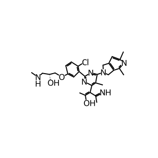 CNC[C@@H](O)COc1ccc(Cl)c(-c2nc(/C(C(C)=N)=C(\C)O)c(C)c(N3Cc4cc(C)nc(C)c4C3)n2)c1